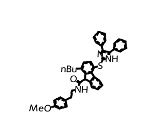 CCCCc1ccc(Sc2nc(-c3ccccc3)c(-c3ccccc3)[nH]2)c2c1C(C(=O)NCCc1ccc(OC)cc1)c1ccccc1-2